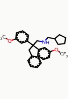 FC(F)(F)Oc1cccc(C(CNCC2CCCC2)(Cc2ccccc2)c2cccc(OC(F)(F)F)c2)c1